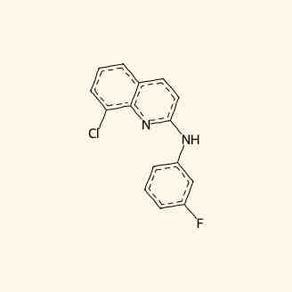 Fc1cccc(Nc2ccc3cccc(Cl)c3n2)c1